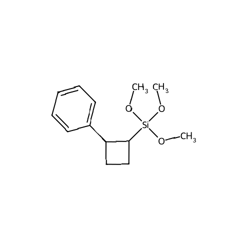 CO[Si](OC)(OC)C1CCC1c1ccccc1